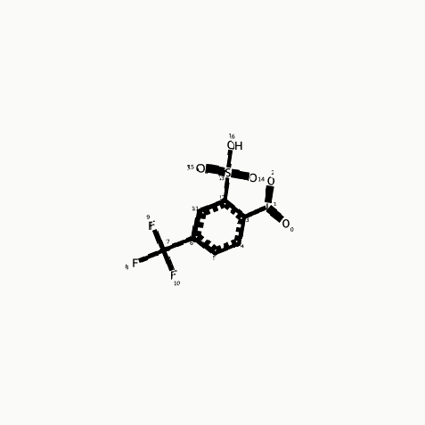 O=I(=O)c1ccc(C(F)(F)F)cc1S(=O)(=O)O